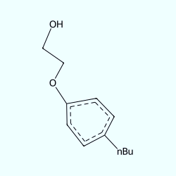 [CH2]CCCc1ccc(OCCO)cc1